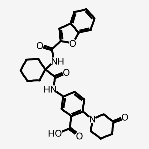 O=C1CCCN(c2ccc(NC(=O)C3(NC(=O)c4cc5ccccc5o4)CCCCC3)cc2C(=O)O)C1